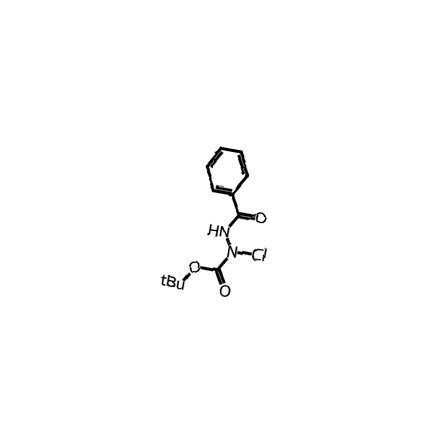 CC(C)(C)OC(=O)N(Cl)NC(=O)c1ccccc1